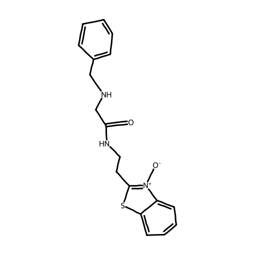 O=C(CNCc1ccccc1)NCCc1sc2ccccc2[n+]1[O-]